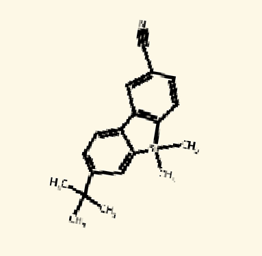 CC(C)(C)c1ccc2c(c1)[Si](C)(C)c1ccc(C#N)cc1-2